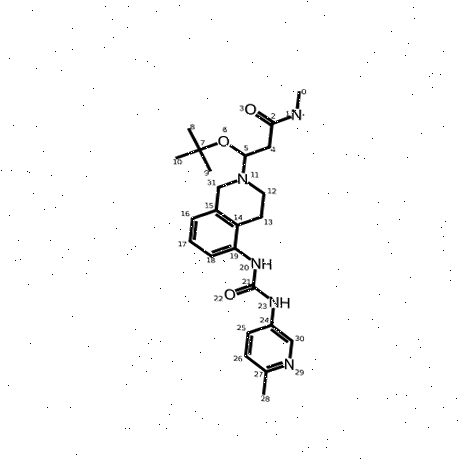 C[N]C(=O)CC(OC(C)(C)C)N1CCc2c(cccc2NC(=O)Nc2ccc(C)nc2)C1